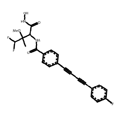 COC(C)(C(F)F)C(NC(=O)c1ccc(C#CC#Cc2ccc(F)cc2)cc1)C(=O)NO